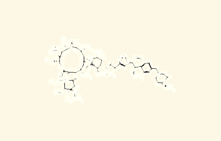 CO[C@H](c1ccc(CN2CCN(C)CC2)cc1)[C@@H](CF)n1cc(CCN(C)[C@H]2C[C@@H](C)O[C@@H](O[C@@H]3[C@@H](C)[C@H](O[C@H]4C[C@@](C)(OC)[C@@H](O)[C@H](C)O4)[C@@H](C)C(=O)O[C@H](I)[C@@](C)(O)[C@H](O)[C@@H](C)N(C)C[C@H](C)C[C@@]3(C)O)[C@@H]2O)nn1